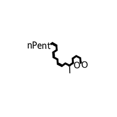 CCCCC/C=C\C/C=C\C/C=C\CC(I)C1CCCC(=O)O1